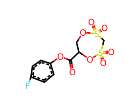 O=C(Oc1ccc(F)cc1)C1COS(=O)(=O)CS(=O)(=O)O1